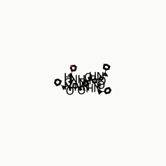 O=C(N[C@H]1C[C@@H]1c1ccccc1)[C@@H]1CN(C(=O)c2cnc(C(=O)N3C[C@@H](C(=O)N[C@H]4C[C@@H]4c4ccccc4)[C@H](C(=O)N[C@H]4C[C@@H]4c4ccccc4)C3)nc2)C[C@H]1C(=O)N[C@H]1C[C@@H]1c1ccccc1